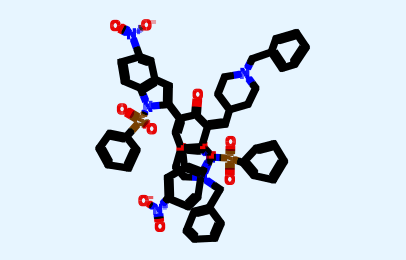 O=C(/C(=C\C1CCN(Cc2ccccc2)CC1)c1cc2cc([N+](=O)[O-])ccc2n1S(=O)(=O)c1ccccc1)/C(=C\C1CCN(Cc2ccccc2)CC1)c1cc2cc([N+](=O)[O-])ccc2n1S(=O)(=O)c1ccccc1